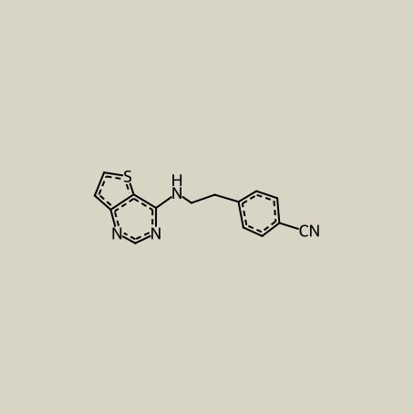 N#Cc1ccc(CCNc2ncnc3ccsc23)cc1